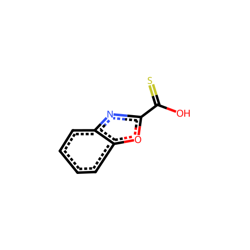 OC(=S)c1nc2ccccc2o1